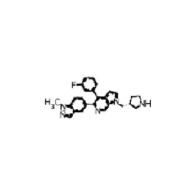 Cn1ncc2cc(-c3ncc4c(ccn4C[C@@H]4CCNC4)c3-c3cccc(F)c3)ccc21